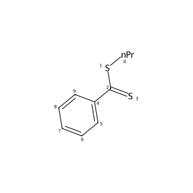 CCCSC(=S)c1ccccc1